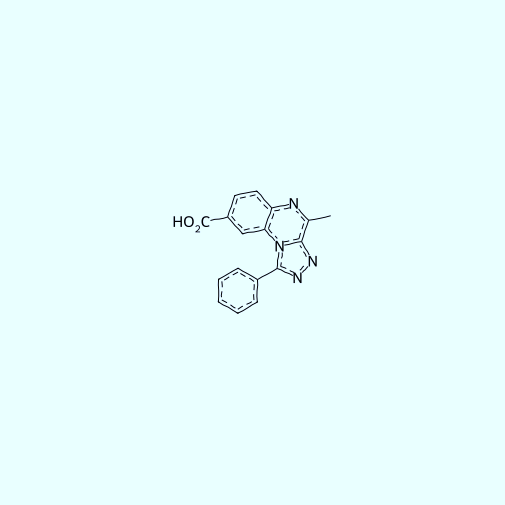 Cc1nc2ccc(C(=O)O)cc2n2c(-c3ccccc3)nnc12